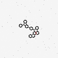 c1ccc(-c2ccccc2N(c2ccc(-c3ccc4c(c3)c3ccccc3n4-c3ccccc3)cc2)c2ccc3ccc4ccccc4c3c2)cc1